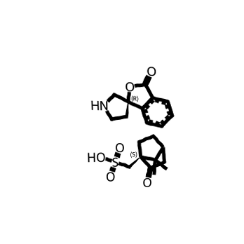 CC1(C)C2CC[C@@]1(CS(=O)(=O)O)C(=O)C2.O=C1O[C@]2(CCNC2)c2ccccc21